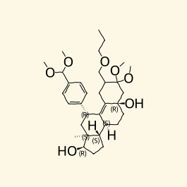 CCCOCC1CC2=C3[C@@H](CC[C@@]2(O)CC1(OC)OC)[C@@H]1CC[C@@H](O)[C@@]1(C)C[C@@H]3c1ccc(C(OC)OC)cc1